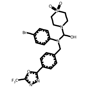 O=S1(=O)CCN(C(O)N(Cc2ccc(-c3nnc(C(F)(F)F)o3)cc2)c2ccc(Br)cc2)CC1